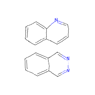 c1ccc2cnncc2c1.c1ccc2ncccc2c1